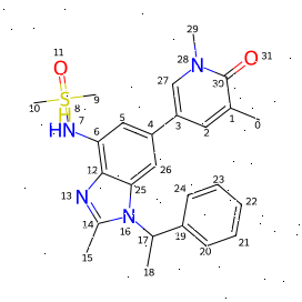 Cc1cc(-c2cc(N[SH](C)(C)=O)c3nc(C)n(C(C)c4ccccc4)c3c2)cn(C)c1=O